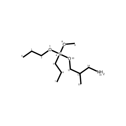 CCCO[Si](CCC)(OC)OCC(C)CN